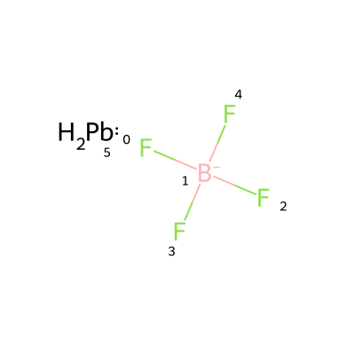 F[B-](F)(F)F.[PbH2]